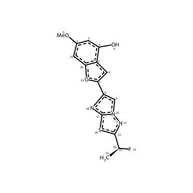 COc1cc(O)c2cc(-c3cn4nc([C@H](C)F)sc4n3)oc2c1